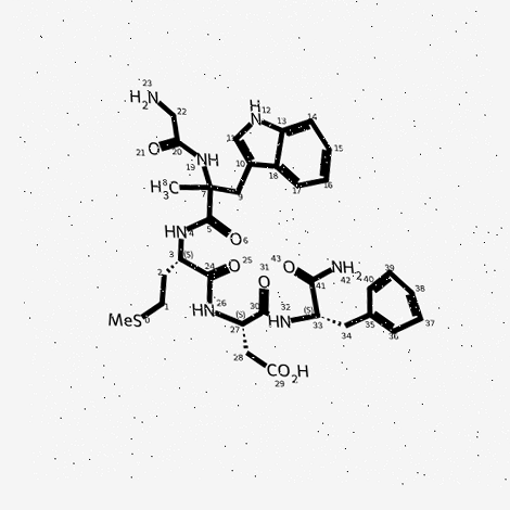 CSCC[C@H](NC(=O)C(C)(Cc1c[nH]c2ccccc12)NC(=O)CN)C(=O)N[C@@H](CC(=O)O)C(=O)N[C@@H](Cc1ccccc1)C(N)=O